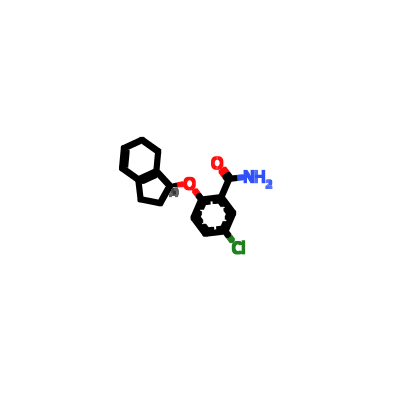 NC(=O)c1cc(Cl)ccc1O[C@H]1CCC2=C1CCC=C2